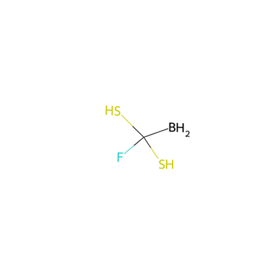 BC(F)(S)S